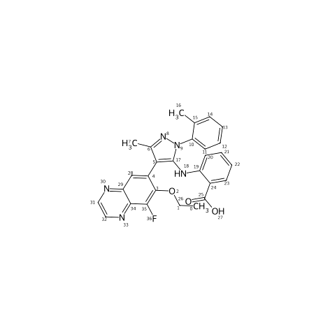 CCOc1c(-c2c(C)nn(-c3ccccc3C)c2Nc2ccccc2C(=O)O)cc2nccnc2c1F